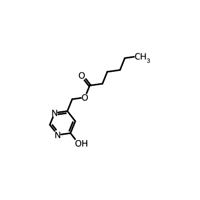 CCCCCC(=O)OCc1cc(O)ncn1